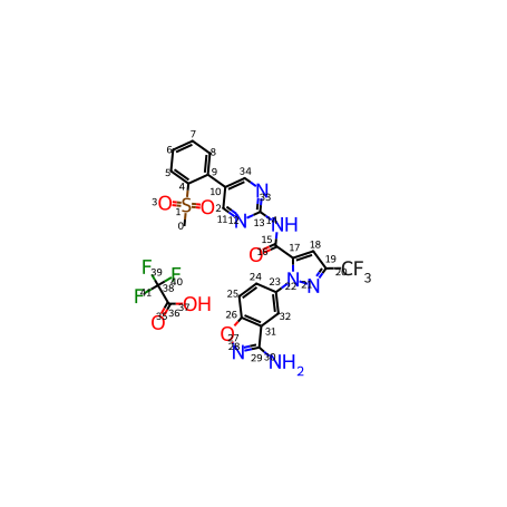 CS(=O)(=O)c1ccccc1-c1cnc(NC(=O)c2cc(C(F)(F)F)nn2-c2ccc3onc(N)c3c2)nc1.O=C(O)C(F)(F)F